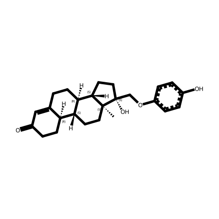 C[C@]12CC[C@H]3[C@@H](CCC4=CC(=O)CC[C@@H]43)[C@@H]1CC[C@@]2(O)COc1ccc(O)cc1